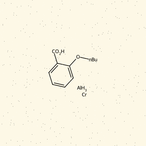 CCCCOc1ccccc1C(=O)O.[AlH3].[Cr]